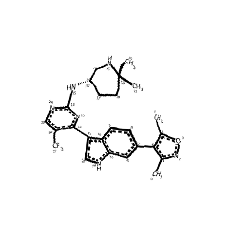 Cc1noc(C)c1-c1ccc2c(-c3nc(N[C@H]4CCC(C)(C)NC4)ncc3C(F)(F)F)c[nH]c2c1